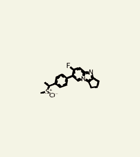 CC(c1ccc(-c2cn3c4c(nc3cc2F)CCC4)cc1)[S+](C)[O-]